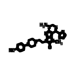 Cn1c(=O)n(CCN2CCN(c3ccc(C#N)cc3)CC2)c2nc3c(n21)C(c1nccs1)=NCN3N